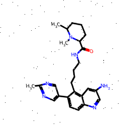 Cc1ncc(-c2ccc3ncc(N)cc3c2CCCCNC(=O)C2CCCC(C)N2C)cn1